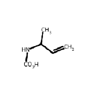 C=CC(C)NC(=O)O